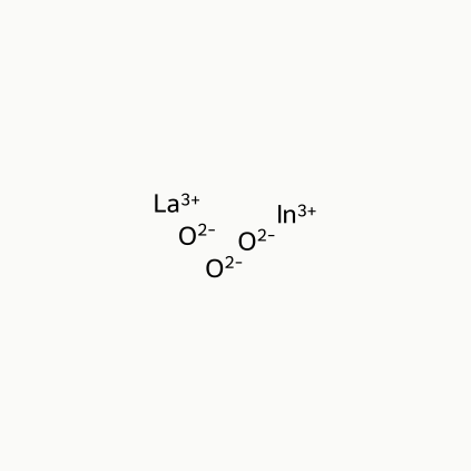 [In+3].[La+3].[O-2].[O-2].[O-2]